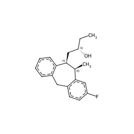 CC[C@H](O)C[C@@H]1c2ccccc2Cc2ccc(F)cc2[C@@H]1C